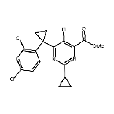 COC(=O)c1nc(C2CC2)nc(C2(c3ccc(Cl)cc3Cl)CC2)c1Cl